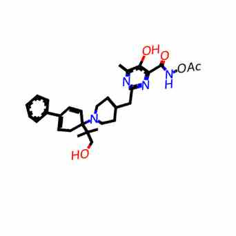 CC(=O)ONC(=O)c1nc(CC2CCN(C3(C(C)(C)CO)C=CC(c4ccccc4)=CC3)CC2)nc(C)c1O